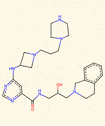 O=C(NCC(O)CN1CCc2ccccc2C1)c1cc(NC2CN(CCCN3CCNCC3)C2)ncn1